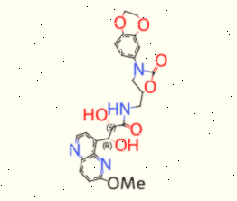 COc1ccc2nccc([C@@H](O)[C@H](O)C(=O)NCC3CN(c4ccc5c(c4)OCCO5)C(=O)O3)c2n1